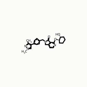 Cc1nn(C)cc1-c1ccc(CN2Cc3ccnc(O[C@@H]4CCCC[C@H]4O)c3C2=O)cc1